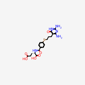 Nc1nc(N)c(CCCSc2ccc(C(=O)N[C@@H](CCC(=O)O)C(=O)O)cc2)c(=O)[nH]1